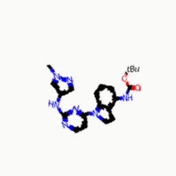 Cn1cc(Nc2nccc(-n3ccc4c(NC(=O)OC(C)(C)C)cccc43)n2)cn1